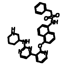 O=S(=O)(Cc1ccccc1)Nc1cccc2c(Oc3ncccc3-c3ccnc(NC4CCCNC4)n3)cccc12